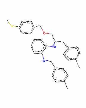 CSc1ccc(COCC(Cc2ccc(C)cc2)Nc2ccccc2NCc2ccc(C)cc2)cc1